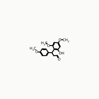 COc1ccc(C(CC=O)c2c(O)cc(OC)cc2OC)cc1